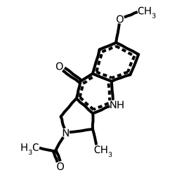 COc1ccc2[nH]c3c(c(=O)c2c1)CN(C(C)=O)C3C